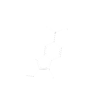 CCCC(=O)c1ccc2c(c1)nc(CO)n2C